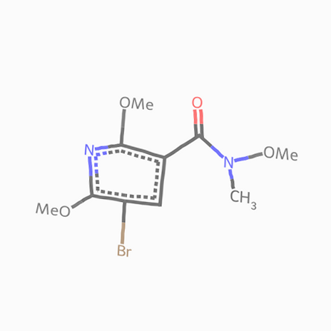 COc1nc(OC)c(C(=O)N(C)OC)cc1Br